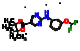 CC1(C)OB(c2cnc(Nc3cccc(OC(F)F)c3)nc2)OC1(C)C